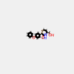 O=C1N[C@H](CO)CCS[C@@H]1c1ccc(Oc2ccccc2)cc1